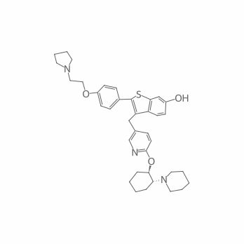 Oc1ccc2c(Cc3ccc(O[C@@H]4CCCC[C@H]4N4CCCCC4)nc3)c(-c3ccc(OCCN4CCCC4)cc3)sc2c1